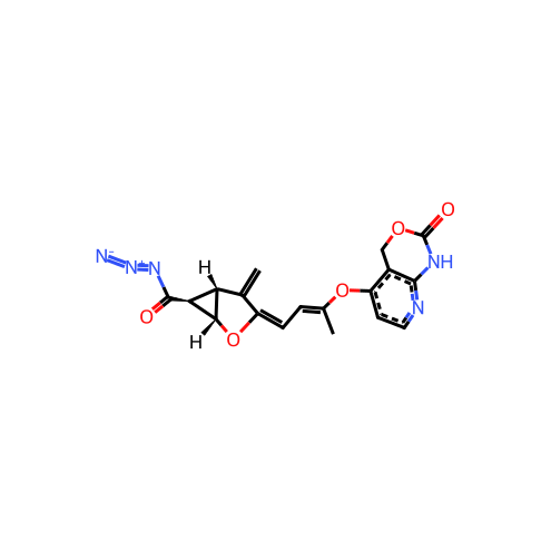 C=C1/C(=C\C=C(/C)Oc2ccnc3c2COC(=O)N3)O[C@H]2[C@@H]1[C@@H]2C(=O)N=[N+]=[N-]